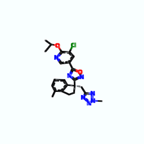 Cc1cccc2c1CC[C@]2(Cc1nnn(C)n1)c1noc(-c2cnc(OC(C)C)c(Cl)c2)n1